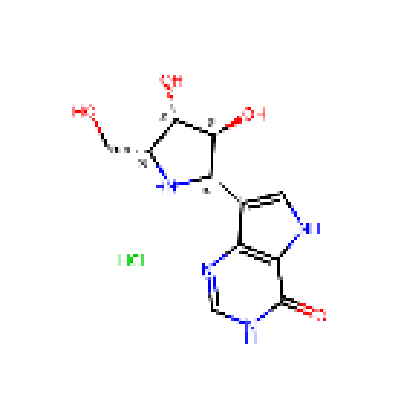 Cl.O=c1[nH]cnc2c([C@@H]3N[C@H](CO)[C@H](O)[C@H]3O)c[nH]c12